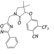 CC1(C)CN(Cc2nc(-c3ccccc3)no2)C(=O)C1Oc1ccc(C#N)c(C(F)(F)F)c1